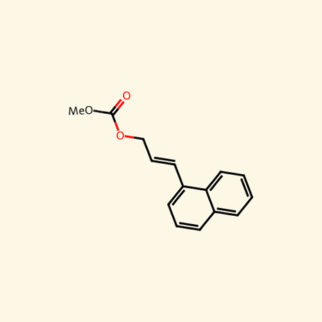 COC(=O)OCC=Cc1cccc2ccccc12